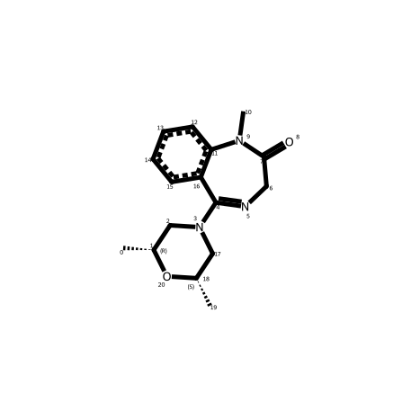 C[C@@H]1CN(C2=NCC(=O)N(C)c3ccccc32)C[C@H](C)O1